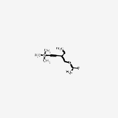 C=C/C(C#C[Si](C)(C)C)=C\N=C(/C)F